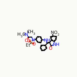 CCS(=O)(=O)N(CC(=O)N(C)C)c1ccc(NC(=C2C(=O)Nc3ccc([N+](=O)[O-])cc32)c2ccccc2)cc1